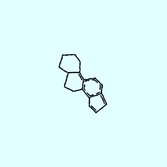 C1=Cc2c3c(ccc2=C1)=C1CCCCC1CC3